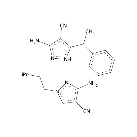 CC(C)CCn1cc(C#N)c(N)n1.CC(c1ccccc1)c1[nH]nc(N)c1C#N